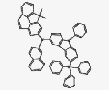 CC1(C)c2cccc3ccc4cc(N(c5ccc6ccccc6c5)c5ccc6c(c5)c5cc([Si](c7ccccc7)(c7ccccc7)c7ccccc7)ccc5n6-c5ccccc5)cc1c4c23